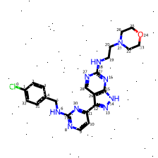 Clc1ccc(CNc2nccc(-c3n[nH]c4nc(NCCN5CCOCC5)ncc34)n2)cc1